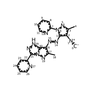 [C-]#[N+]c1c(C)nn(-c2ccccn2)c1/N=N/c1c(C)nn2c(-c3ccccn3)n[nH]c12